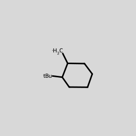 [CH2]C1CCCCC1C(C)(C)C